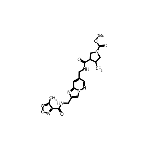 Cc1nonc1C(=O)NCc1cn2ncc(CNC(=O)C3CN(C(=O)OC(C)(C)C)CC3C(F)(F)F)cc2n1